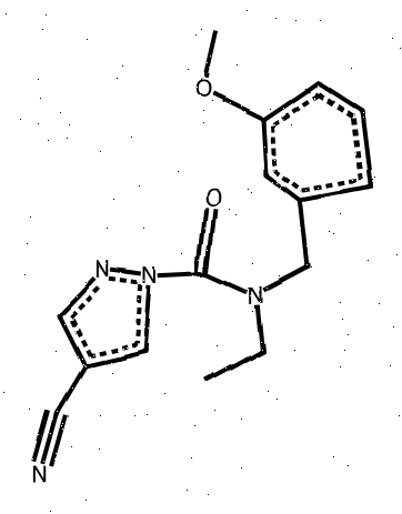 CCN(Cc1cccc(OC)c1)C(=O)n1cc(C#N)cn1